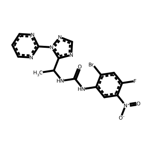 CC(NC(=O)Nc1cc([N+](=O)[O-])c(F)cc1Br)c1ncnn1-c1ncccn1